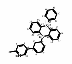 Cc1ccc(C2=CC=CC(N3c4ccccc4[SiH](c4ccccc4)c4ccccc43)C2)cn1